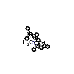 C=c1/c(=C\C(=C/C)c2cccc3c2oc2c(-c4cc(-c5ccccc5)nc(-c5ccccc5)n4)cccc23)n(-c2ccccc2)c2ccc3c4ccccc4oc3c12